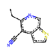 CCc1ncc2sccc2c1C#N